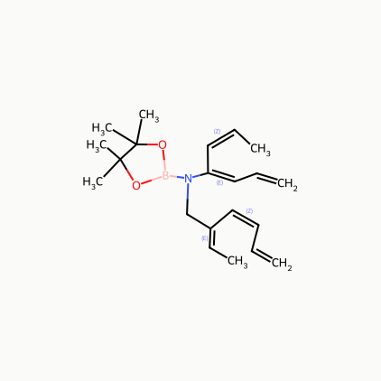 C=C/C=C\C(=C/C)CN(B1OC(C)(C)C(C)(C)O1)C(/C=C\C)=C/C=C